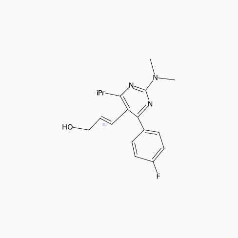 CC(C)c1nc(N(C)C)nc(-c2ccc(F)cc2)c1/C=C/CO